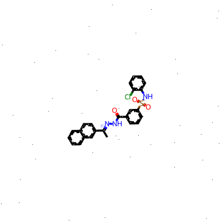 C/C(=N\NC(=O)c1cccc(S(=O)(=O)Nc2ccccc2Cl)c1)c1ccc2ccccc2c1